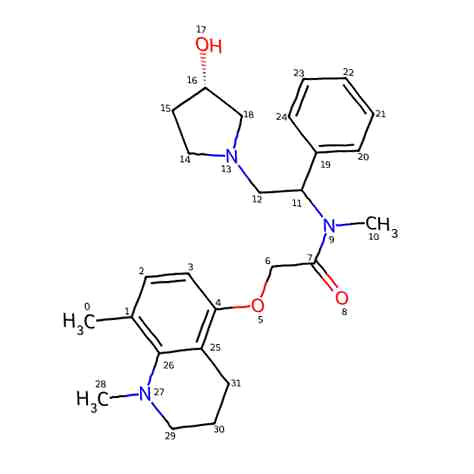 Cc1ccc(OCC(=O)N(C)C(CN2CC[C@H](O)C2)c2ccccc2)c2c1N(C)CCC2